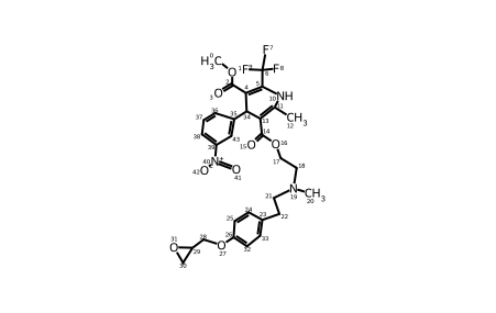 COC(=O)C1=C(C(F)(F)F)NC(C)=C(C(=O)OCCN(C)CCc2ccc(OCC3CO3)cc2)C1c1cccc([N+](=O)[O-])c1